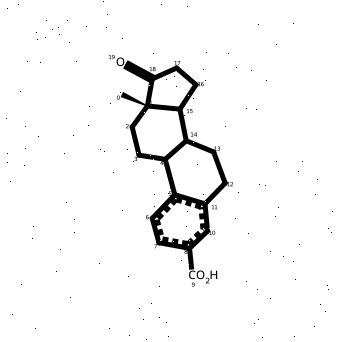 C[C@]12CCC3c4ccc(C(=O)O)cc4CCC3C1CCC2=O